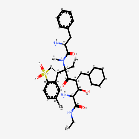 CC(=O)N(C(=O)[C@@H](N)Cc1ccccc1)[C@](CC(C)C)(C(=O)[C@@H](CC1CCCCC1)C(O)C(N)C(=O)NCC(C)C)[C@H]1CS(=O)(=O)c2ccc(C#N)cc21